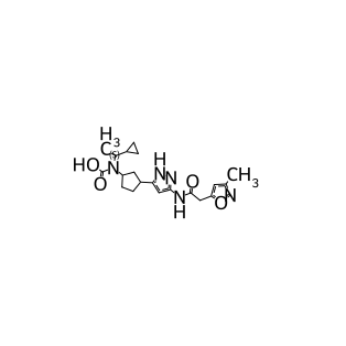 Cc1cc(CC(=O)Nc2cc(C3CCC(N(C(=O)O)[C@@H](C)C4CC4)C3)[nH]n2)on1